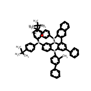 Cc1cc(-c2ccccc2)ccc1N1c2ccc(N(c3ccc(C(C)(C)C)cc3)c3ccc(C(C)(C)C)cc3)cc2B2c3c(cc(-c4ccccc4)cc31)-c1cc3ccccc3cc1N2c1ccc(C(C)(C)C)cc1